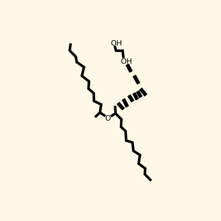 C=C.C=C.C=C.C=C.C=C.C=C.C=C.C=C.CCCCCCCCCCCC(C)OC(C)CCCCCCCCCCC.OCCO